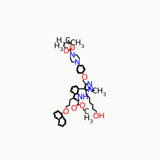 CCOC(=O)c1[nH]c2c(-c3c(COc4ccc(N5CCN(C(=O)OC(C)(C)C)CC5)cc4)nn(C)c3CCCCCCO)cccc2c1CCCOc1cccc2ccccc12